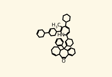 CC1=C(C2CC=C(C3CC=CCC3)CC2)NC(C2C=C(C3(c4ccccc4)C4=CCCC=C4C4=C(O4)C4C=CCCCC43)CCC2)=CC=C1C1CCCCC1